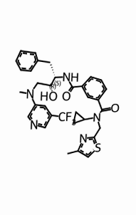 Cc1csc(CN(C(=O)c2cccc(C(=O)N[C@@H](Cc3ccccc3)[C@H](O)CN(C)c3cncc(C(F)(F)F)c3)c2)C2CC2)n1